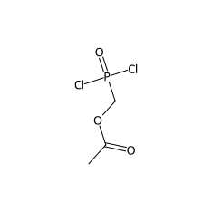 CC(=O)OCP(=O)(Cl)Cl